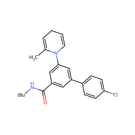 CC1=CCC=CN1c1cc(C(=O)NC(C)(C)C)cc(-c2ccc(Cl)cc2)c1